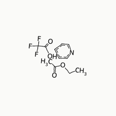 CCOC(C)=O.O=C(O)C(F)(F)F.c1ccncc1